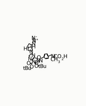 CN(Cc1ccc(-c2nnc(-c3nc(N4C[C@@H]5CCC(N=[N+]=[N-])[C@@H]5C4)cnc3N(C(=O)OC(C)(C)C)C(=O)OC(C)(C)C)o2)cc1)C(=O)O